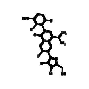 C=C(C)c1cn(-c2c(F)ccc(OC)c2Cl)c(=O)c2cc(F)c(-n3nc(CO)n(CC)c3=O)cc12